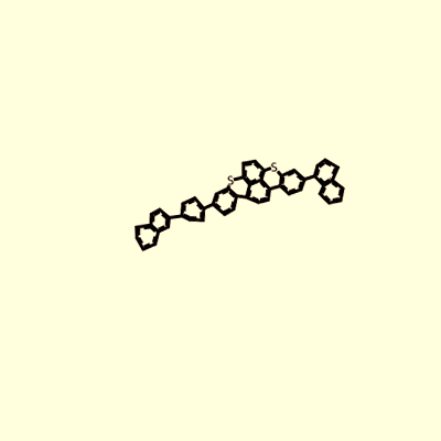 c1ccc2cc(-c3ccc(-c4ccc5c(c4)Sc4ccc6c7c(ccc-5c47)-c4ccc(-c5cccc7ccccc57)cc4S6)cc3)ccc2c1